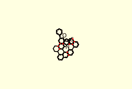 c1ccc(N(c2ccccc2-c2cccc3cccc(C4CCCCC4)c23)c2ccccc2-c2cccc3sc4ccccc4c23)c(-c2cccc3c2oc2ccccc23)c1